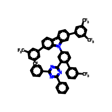 FC(F)(F)c1cccc(-c2ccc(-n3c4cc(-c5cc(C(F)(F)F)cc(C(F)(F)F)c5)ccc4c4ccc(-c5cc(C(F)(F)F)cc(C(F)(F)F)c5)cc43)cc2-c2nc(-c3ccccc3)nc(-c3ccccc3)n2)c1